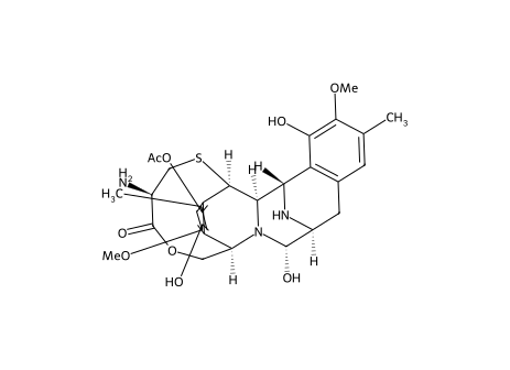 COc1c(C)cc2c(c1O)[C@@H]1N[C@@H](C2)[C@H](O)N2[C@H]1[C@@H]1SC[C@H](N)C(=O)OC[C@H]2c2c(O)c(OC)c(C)c(OC(C)=O)c21